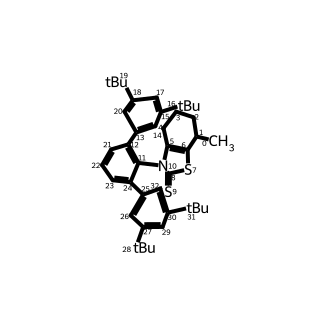 CC1CCCc2c1sc(=S)n2-c1c(-c2cc(C(C)(C)C)cc(C(C)(C)C)c2)cccc1-c1cc(C(C)(C)C)cc(C(C)(C)C)c1